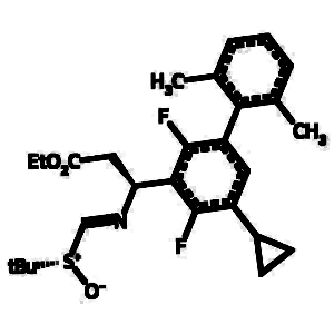 CCOC(=O)C[C@H](/N=C/[S@+]([O-])C(C)(C)C)c1c(F)c(-c2c(C)cccc2C)cc(C2CC2)c1F